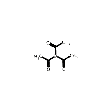 CC(=O)B(C(C)=O)C(C)=O